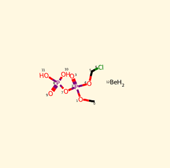 COP(=O)(OCCl)OP(=O)(O)O.[BeH2]